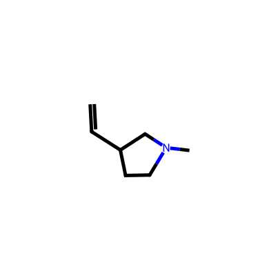 C=CC1CCN(C)C1